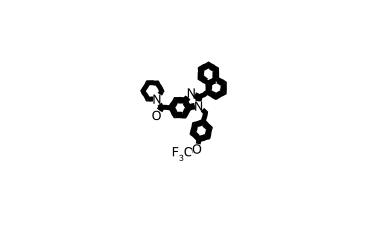 O=C(c1ccc2c(c1)nc(-c1cccc3ccccc13)n2Cc1ccc(OC(F)(F)F)cc1)N1CCCCC1